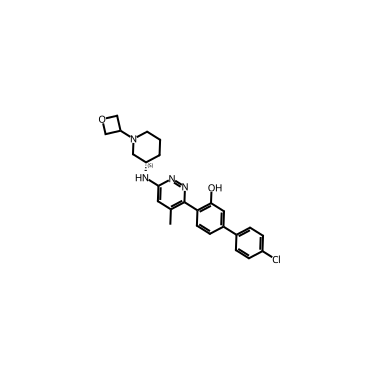 Cc1cc(N[C@H]2CCCN(C3COC3)C2)nnc1-c1ccc(-c2ccc(Cl)cc2)cc1O